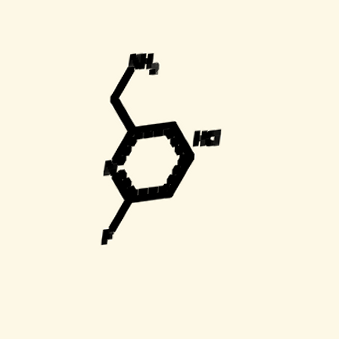 Cl.NCc1cccc(F)n1